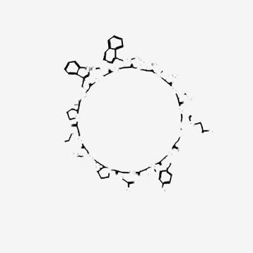 CCCC[C@H]1C(=O)N[C@@H](CN)C(=O)N[C@H](C(=O)NCC(N)=O)CSCC(=O)N[C@@H](Cc2ccc(O)cc2)C(=O)N(C)[C@@H](C)C(=O)N[C@@H](CC(N)=O)C(=O)N2CCC[C@H]2C(=O)N[C@@H](CN)C(=O)N[C@@H](CCC(=O)O)C(=O)N2C[C@H](O)C[C@H]2C(=O)N[C@@H](Cc2c[nH]c3ccccc23)C(=O)N[C@@H](CO)C(=O)N[C@@H](Cc2cccc3ccccc23)c2nnnn2[C@@H](CCCC)C(=O)N1C